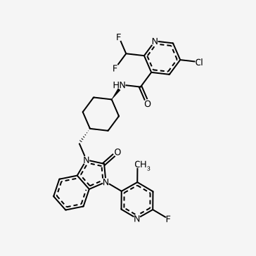 Cc1cc(F)ncc1-n1c(=O)n(C[C@H]2CC[C@H](NC(=O)c3cc(Cl)cnc3C(F)F)CC2)c2ccccc21